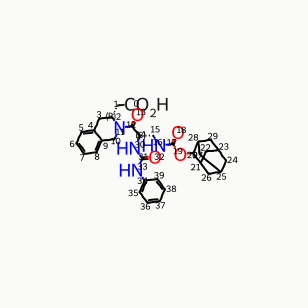 O=C(O)C[C@H]1Cc2ccccc2CN1C(=O)[C@H](CNC(=O)OC1C2CC3CC(C2)CC1C3)NC(=O)Nc1ccccc1